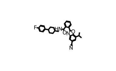 CC(C)c1cc(C#N)cc2nc(-c3ccccc3C(=O)NCC3CCC(c4ccc(F)cc4)CC3)oc12